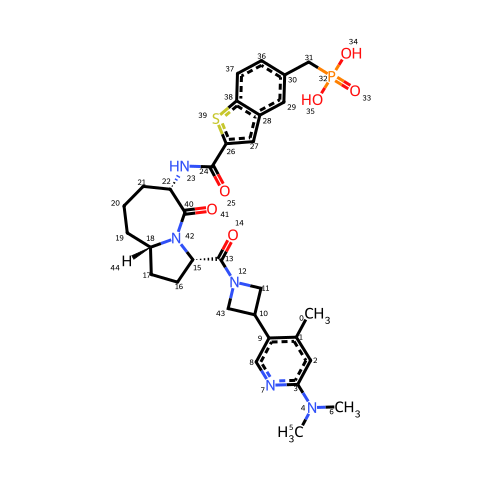 Cc1cc(N(C)C)ncc1C1CN(C(=O)[C@@H]2CC[C@@H]3CCC[C@H](NC(=O)c4cc5cc(CP(=O)(O)O)ccc5s4)C(=O)N32)C1